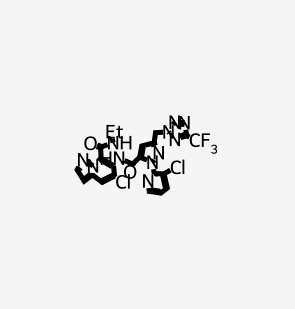 CCNC(=O)c1c(NC(=O)c2cc(Cn3nnc(C(F)(F)F)n3)nn2-c2ncccc2Cl)c(Cl)cc2ccnn12